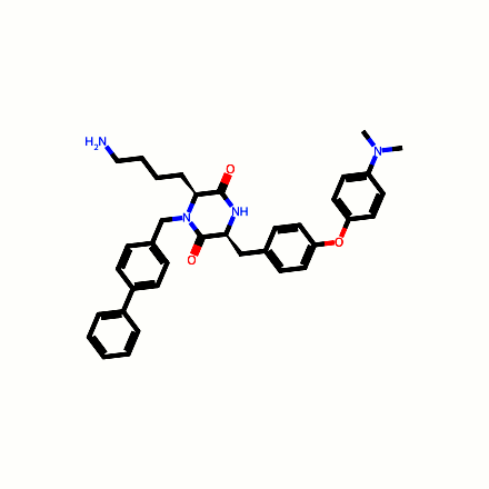 CN(C)c1ccc(Oc2ccc(C[C@@H]3NC(=O)[C@H](CCCCN)N(Cc4ccc(-c5ccccc5)cc4)C3=O)cc2)cc1